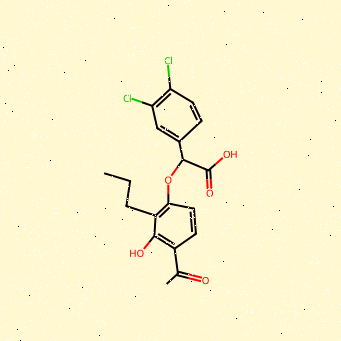 CCCc1c(OC(C(=O)O)c2ccc(Cl)c(Cl)c2)ccc(C(C)=O)c1O